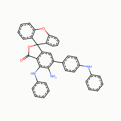 Nc1c(-c2ccc(Nc3ccccc3)cc2)cc2c(c1Nc1ccccc1)C(=O)OC21c2ccccc2Oc2ccccc21